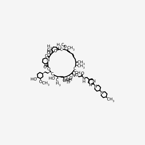 CO[C@H]1C[C@@H]2CC[C@@H](C)[C@@](O)(O2)C(=O)C(=O)N2CCCC[C@H]2C(=O)O[C@H](CC[C@@H]2CC[C@@H](O)[C@H](OC)C2)C[C@@H](O)[C@H](C)/C=C(\C)[C@@H](O)[C@@H](OC)/C(=N/OCC(=O)NCc2cnc(N3CCC(N4CCC(C)CC4)CC3)nc2)[C@H](C)C[C@H](C)C(C)C/C=C/C=C/1C